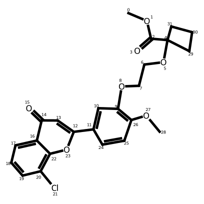 COC(=O)C1(OCCOc2cc(-c3cc(=O)c4cccc(Cl)c4o3)ccc2OC)CCC1